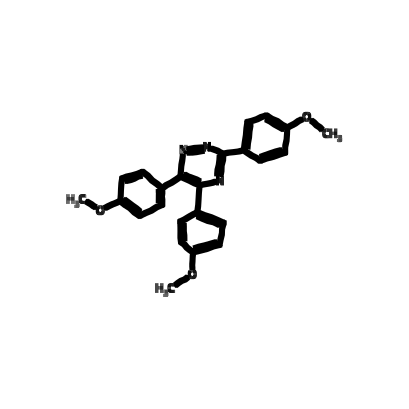 COc1ccc(-c2nnc(-c3ccc(OC)cc3)c(-c3ccc(OC)cc3)n2)cc1